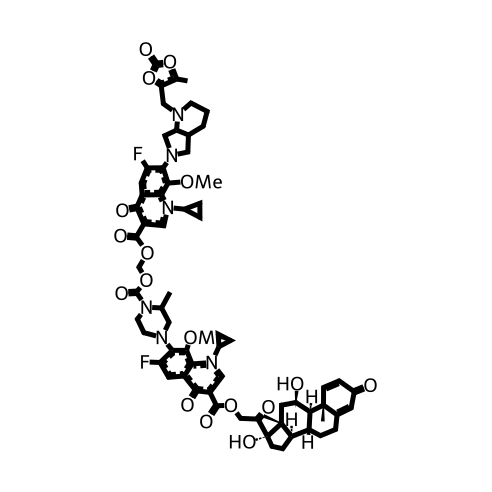 COc1c(N2CC3CCCN(Cc4oc(=O)oc4C)C3C2)c(F)cc2c(=O)c(C(=O)OCOC(=O)N3CCN(c4c(F)cc5c(=O)c(C(=O)OCC(=O)[C@]6(O)CC[C@@H]7[C@H]8CCC9=CC(=O)C=C[C@@]9(C)[C@@H]8[C@H](O)C[C@]76C)cn(C6CC6)c5c4OC)CC3C)cn(C3CC3)c12